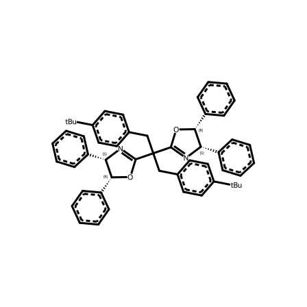 CC(C)(C)c1ccc(CC(Cc2ccc(C(C)(C)C)cc2)(C2=N[C@@H](c3ccccc3)[C@@H](c3ccccc3)O2)C2=N[C@@H](c3ccccc3)[C@@H](c3ccccc3)O2)cc1